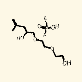 C=C(C)CC(O)COCCOCCO.O=P(O)(F)F